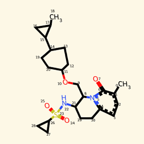 Cc1ccc2n(c1=O)C(COC1CCC(C3CC3C)CC1)C(NS(=O)(=O)C1CC1)CC2